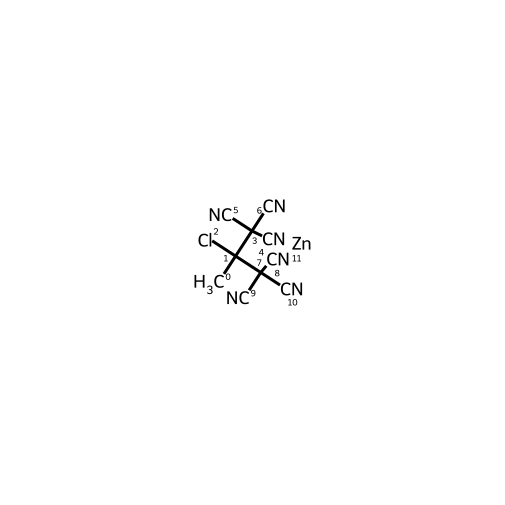 CC(Cl)(C(C#N)(C#N)C#N)C(C#N)(C#N)C#N.[Zn]